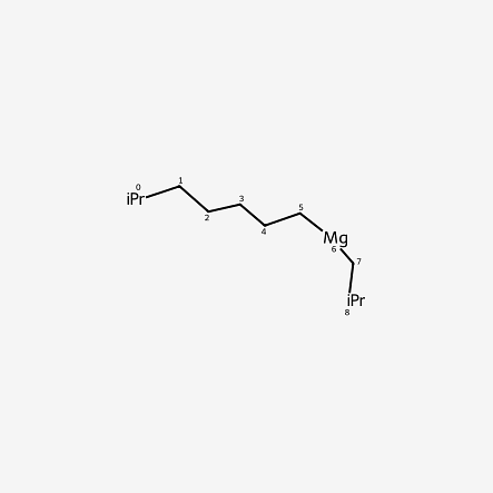 CC(C)CCCC[CH2][Mg][CH2]C(C)C